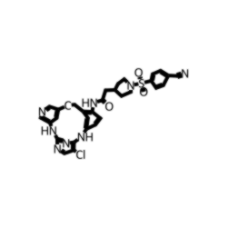 N#Cc1ccc(S(=O)(=O)N2CCC(CC(=O)Nc3ccc4cc3CCc3cncc(c3)Nc3ncc(Cl)c(n3)N4)CC2)cc1